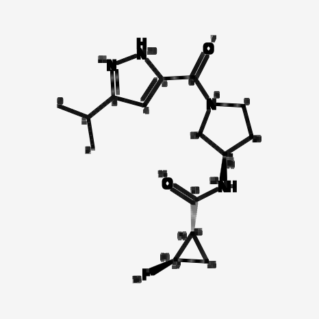 CC(C)c1cc(C(=O)N2CC[C@@H](NC(=O)[C@@H]3C[C@H]3F)C2)[nH]n1